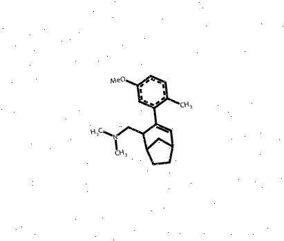 COc1ccc(C)c(C2=CC3CCC(C3)C2CN(C)C)c1